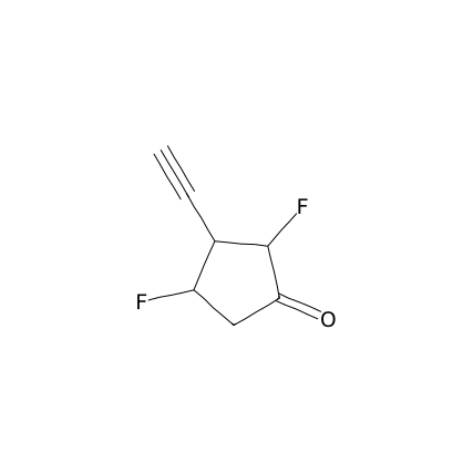 C#CC1C(F)CC(=O)C1F